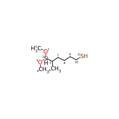 CO[SiH](OC)C(C)CCCCS